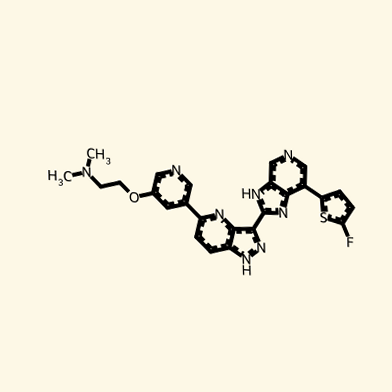 CN(C)CCOc1cncc(-c2ccc3[nH]nc(-c4nc5c(-c6ccc(F)s6)cncc5[nH]4)c3n2)c1